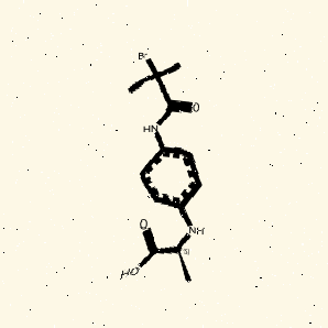 C[C@H](Nc1ccc(NC(=O)C(C)(C)Br)cc1)C(=O)O